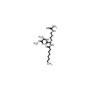 CCCCCCCC(=O)N[C@H](CCCCNC(=N)N)C(=O)N[C@@H](C)C(=O)OC